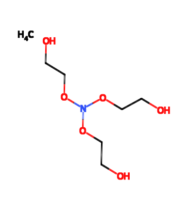 C.OCCON(OCCO)OCCO